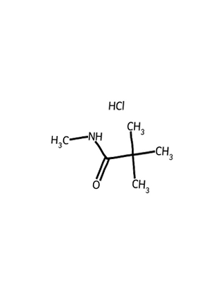 CNC(=O)C(C)(C)C.Cl